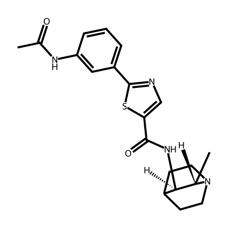 CC(=O)Nc1cccc(-c2ncc(C(=O)N[C@@H]3C4CCN(CC4)[C@H]3C)s2)c1